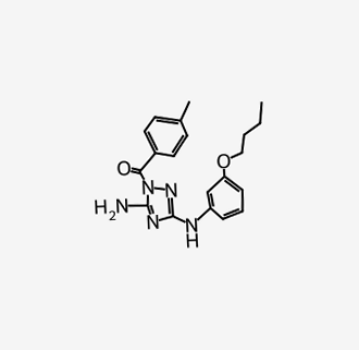 CCCCOc1cccc(Nc2nc(N)n(C(=O)c3ccc(C)cc3)n2)c1